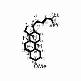 CC[C@H](/C=C/[C@@H](C)[C@H]1CC[C@H]2[C@@H]3CC=C4C[C@@H](OC)CC[C@]4(C)[C@H]3CC[C@]12C)C(C)C